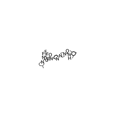 Cc1cccc(C)c1NC(=O)N1CCN(c2ccc(NC(=O)c3oc(N4CCCC(C)C4)nc3C(F)(F)F)cn2)CC1